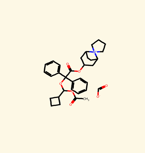 CC(=O)OC(OC(C(=O)OC1CC2CCC(C1)[N+]21CCCC1)(c1ccccc1)c1ccccc1)C1CCC1.O=C[O-]